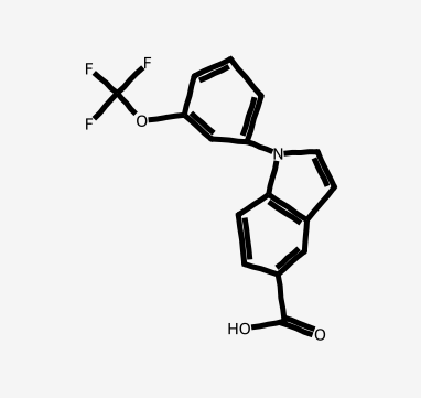 O=C(O)c1ccc2c(ccn2-c2cccc(OC(F)(F)F)c2)c1